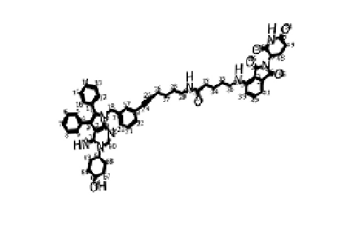 N=c1c2c(-c3ccccc3)c(-c3ccccc3)n(Cc3cccc(C#CCCCCNC(=O)CCCCNc4cccc5c4C(=O)N(C4CCC(=O)NC4=O)C5=O)c3)c2ncn1C1CCC(O)CC1